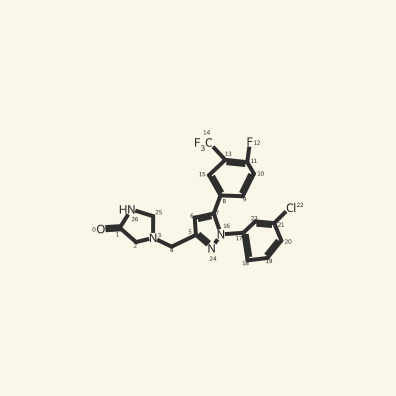 O=C1CN(Cc2cc(-c3ccc(F)c(C(F)(F)F)c3)n(-c3cccc(Cl)c3)n2)CN1